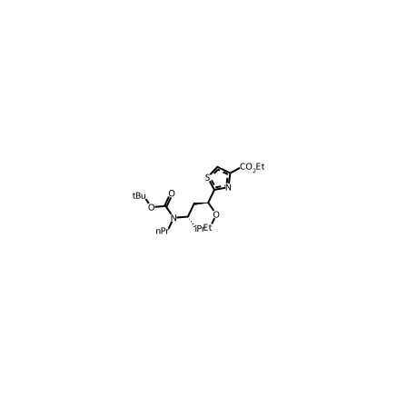 CCCN(C(=O)OC(C)(C)C)[C@H](C[C@H](OCC)c1nc(C(=O)OCC)cs1)C(C)C